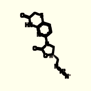 [N-]=[N+]=NC[C@H]1CN(c2ccc3c(n2)NC(=O)CS3)C(=O)O1